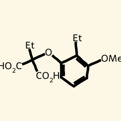 CCc1c(OC)cccc1OC(CC)(C(=O)O)C(=O)O